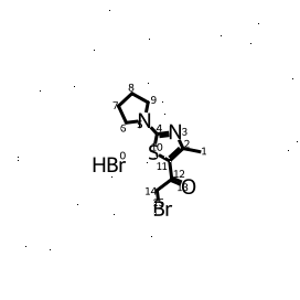 Br.Cc1nc(N2CCCC2)sc1C(=O)CBr